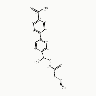 C=CCC(=O)OCC(C)c1ccc(-c2ccc(C(=O)O)cc2)cc1